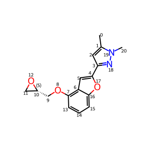 Cc1cc(-c2cc3c(OC[C@@H]4CO4)cccc3o2)nn1C